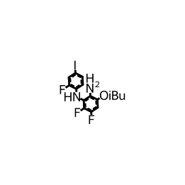 CC(C)COc1cc(F)c(F)c(Nc2ccc(I)cc2F)c1N